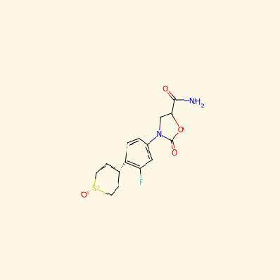 NC(=O)C1CN(c2ccc([C@H]3CC[S@@+]([O-])CC3)c(F)c2)C(=O)O1